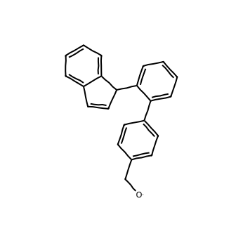 [O]Cc1ccc(-c2ccccc2C2C=Cc3ccccc32)cc1